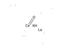 [KH].[La].[O]=[Ce]